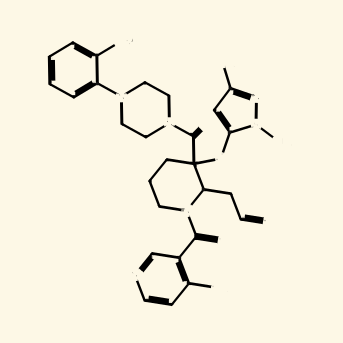 C=CCC1N(C(=O)c2cnccc2C(F)(F)F)CCCC1(Oc1cc(C(F)(F)F)nn1C)C(=O)N1CCN(c2ccccc2OC)CC1